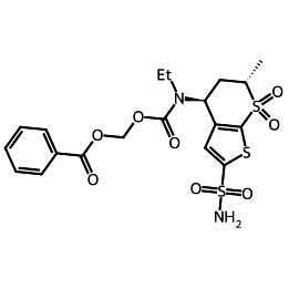 CCN(C(=O)OCOC(=O)c1ccccc1)[C@H]1C[C@H](C)S(=O)(=O)c2sc(S(N)(=O)=O)cc21